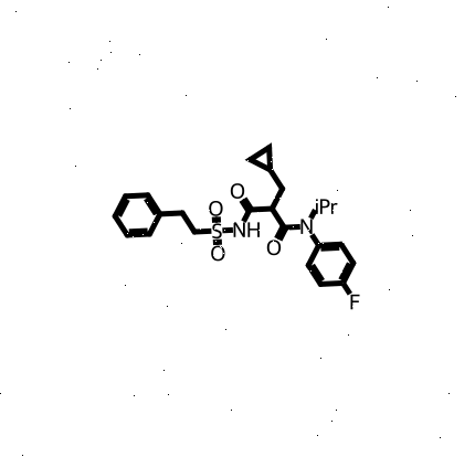 CC(C)N(C(=O)C(CC1CC1)C(=O)NS(=O)(=O)CCc1ccccc1)c1ccc(F)cc1